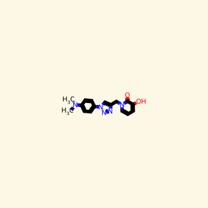 CN(C)c1ccc(-n2cc(Cn3cccc(O)c3=O)nn2)cc1